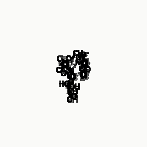 C#CCOc1cc(-n2nc3n(c2=O)CCCC3)c(Cl)cc1Cl.Nc1c([N+](=O)[O-])ccc(Oc2ccccc2)c1Cl.O=C(O)CNCP(=O)(O)O